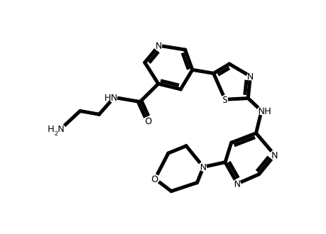 NCCNC(=O)c1cncc(-c2cnc(Nc3cc(N4CCOCC4)ncn3)s2)c1